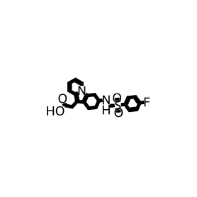 O=C(O)Cc1c2c(n3ccccc13)CC(NCS(=O)(=O)c1ccc(F)cc1)CC2